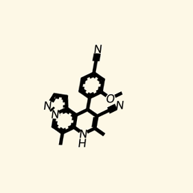 COc1cc(C#N)ccc1C1C(C#N)=C(C)Nc2c(C)cn3nccc3c21